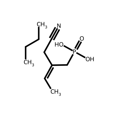 C/C=C(/CC#N)CP(=O)(O)O.CCCC